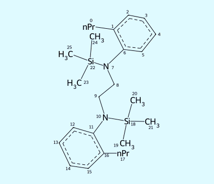 CCCc1ccccc1N(CCN(c1ccccc1CCC)[Si](C)(C)C)[Si](C)(C)C